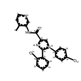 Cc1ccncc1NC(=O)c1cn(-c2ccc(Cl)cc2)c(-c2ccccc2Cl)n1